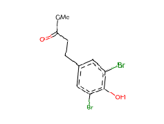 COC(=O)CCc1cc(Br)c(O)c(Br)c1